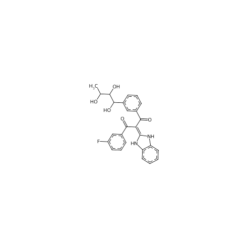 CC(O)C(O)C(O)c1cccc(C(=O)C(C(=O)c2cccc(F)c2)=C2Nc3ccccc3N2)c1